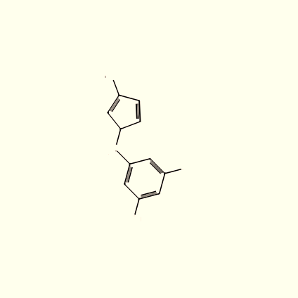 CCCC1=C[C]([SiH2]c2cc(C)cc(C)c2)C=C1